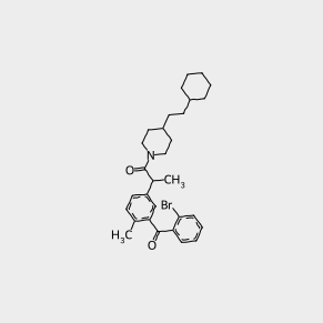 Cc1ccc(C(C)C(=O)N2CCC(CCC3CCCCC3)CC2)cc1C(=O)c1ccccc1Br